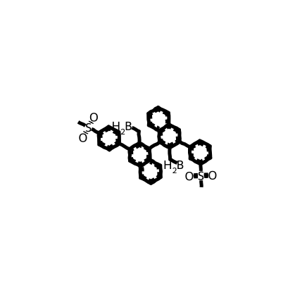 BCc1c(-c2ccc(S(C)(=O)=O)cc2)cc2ccccc2c1-c1c(CB)c(-c2cccc(S(C)(=O)=O)c2)cc2ccccc12